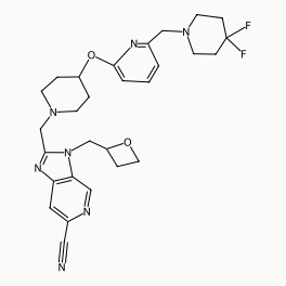 N#Cc1cc2nc(CN3CCC(Oc4cccc(CN5CCC(F)(F)CC5)n4)CC3)n(CC3CCO3)c2cn1